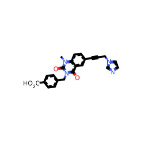 Cn1c(=O)n(Cc2ccc(C(=O)O)cc2)c(=O)c2cc(C#CCn3ccnc3)ccc21